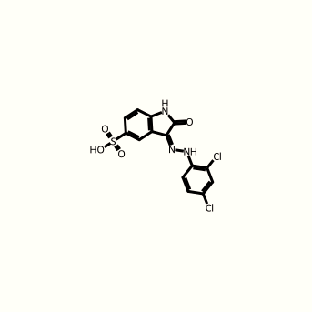 O=C1Nc2ccc(S(=O)(=O)O)cc2C1=NNc1ccc(Cl)cc1Cl